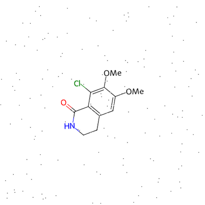 COc1cc2c(c(Cl)c1OC)C(=O)NCC2